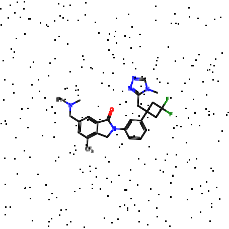 CC(C)N(C)Cc1cc2c(c(C(F)(F)F)c1)CN(c1cccc(C3(Cc4nncn4C)CC(F)(F)C3)c1)C2=O